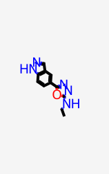 CCNc1nnc(-c2ccc3[nH]ncc3c2)o1